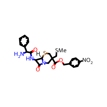 CSCC1(C(=O)OCc2ccc([N+](=O)[O-])cc2)CS[C@@H]2C(NC(=O)C(N)c3ccccc3)C(=O)N2C1